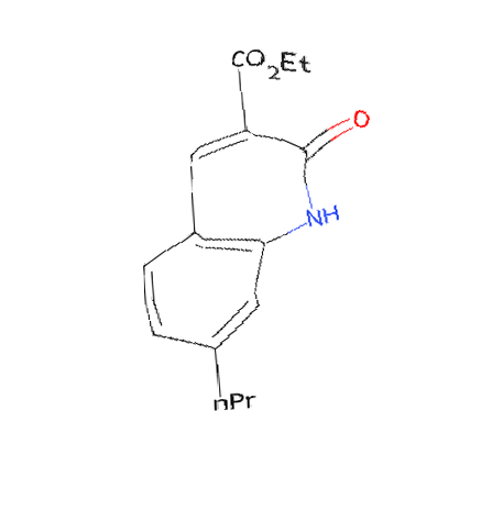 CCCc1ccc2cc(C(=O)OCC)c(=O)[nH]c2c1